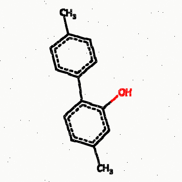 Cc1ccc(-c2ccc(C)cc2O)cc1